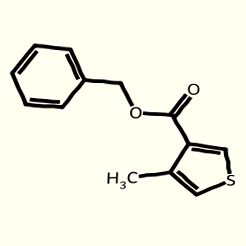 Cc1cscc1C(=O)OCc1ccccc1